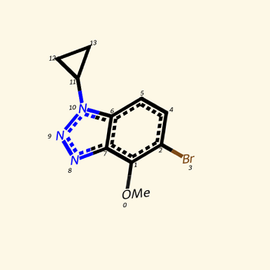 COc1c(Br)ccc2c1nnn2C1CC1